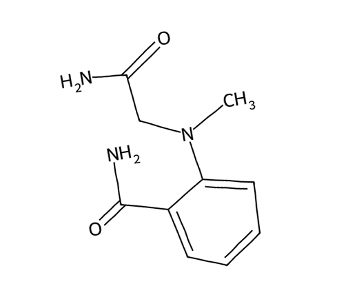 CN(CC(N)=O)c1ccccc1C(N)=O